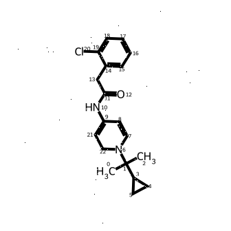 CC(C)(C1CC1)N1C=CC(NC(=O)Cc2ccccc2Cl)=CC1